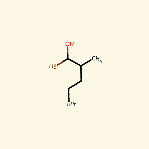 CCCCCC(C)C(O)S